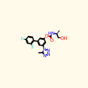 Cc1nnnn1-c1cc(OC(=O)N[C@@H](C)CO)cc(-c2ccc(F)cc2F)c1